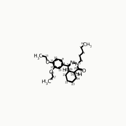 CCCCCN1N=C(c2ccc(OCC)c(OCC)c2)[C@@H]2CCCC[C@@H]2C1=O